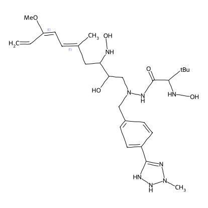 C=C/C(=C\C=C(/C)CC(NO)C(O)CN(Cc1ccc(C2=NN(C)NN2)cc1)NC(=O)C(NO)C(C)(C)C)OC